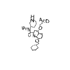 CC(=O)OCCOc1cc(C(=O)N(C(C)C)[C@@H]2CCCNC2)nc2c(OCC3CCCCC3)cccc12